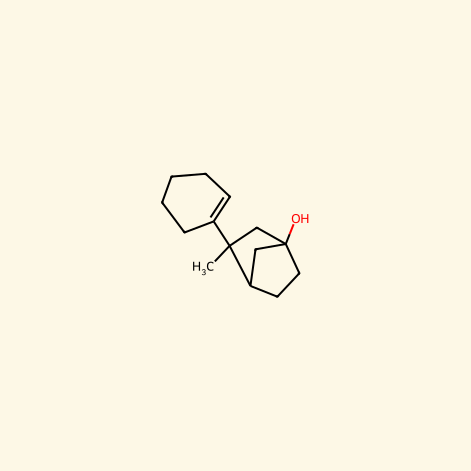 CC1(C2=CCCCC2)CC2(O)CCC1C2